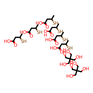 CC(S)CC(=O)O.CC(S)CC(=O)O.CC(S)CC(=O)O.CC(S)CC(=O)O.CC(S)CC(=O)O.CC(S)CC(=O)O.OCC(CO)(CO)CO.OCC(CO)(CO)CO